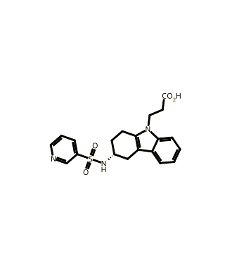 O=C(O)CCn1c2c(c3ccccc31)C[C@H](NS(=O)(=O)c1cccnc1)CC2